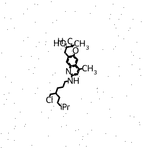 Cc1cc(NCCCC(CCl)CCC(C)C)nc2cc3c(cc12)OC(C)(C)[C@H](O)C3